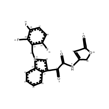 O=C1C=C(NC(=O)C(=O)c2cn(Cc3c(F)ccc(F)c3F)c3ccccc23)CO1